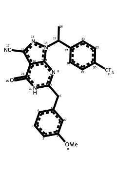 COc1cccc(Cc2nc3c(c(C#N)nn3C(C)c3ccc(C(F)(F)F)cc3)c(=O)[nH]2)c1